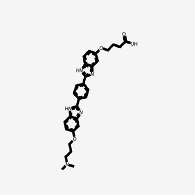 CN(C)CCCOc1ccc2[nH]c(-c3ccc(-c4nc5cc(OCCCC(=O)O)ccc5[nH]4)cc3)nc2c1